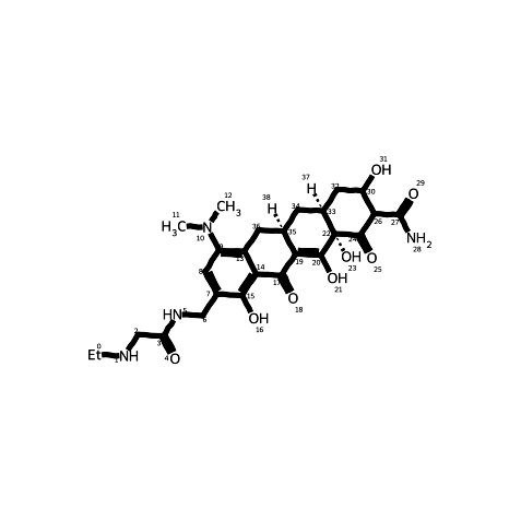 CCNCC(=O)NCc1cc(N(C)C)c2c(c1O)C(=O)C1=C(O)[C@]3(O)C(=O)C(C(N)=O)C(O)C[C@@H]3C[C@@H]1C2